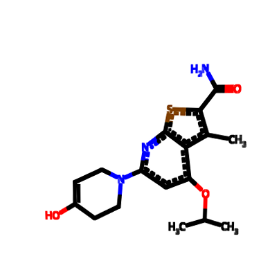 Cc1c(C(N)=O)sc2nc(N3CC=C(O)CC3)cc(OC(C)C)c12